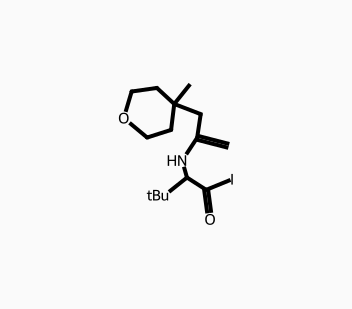 C=C(CC1(C)CCOCC1)NC(C(=O)I)C(C)(C)C